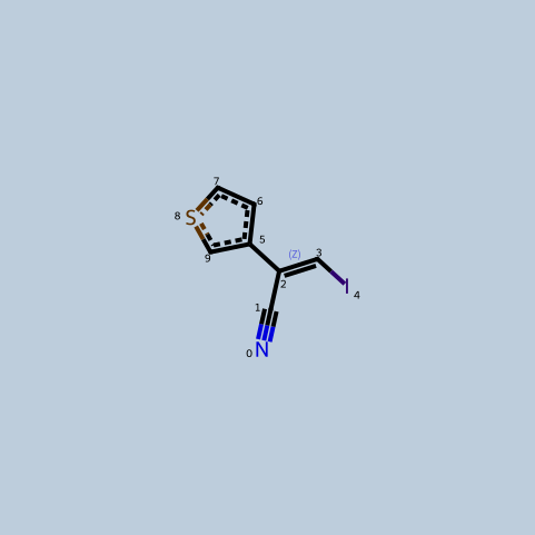 N#C/C(=C\I)c1ccsc1